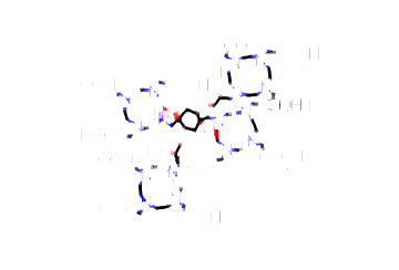 O=C(O)CN1CCN(CC(=O)O)CCN(CC(O)COC2CC(O)(CN3CCN(CC(=O)O)CCN(CC(=O)O)CCN(CC(=O)O)CC3)C(OCC(O)CN3CCN(CC(=O)O)CCN(CC(=O)O)CCN(CC(=O)O)CC3)CC2(O)CN2CCN(CC(=O)O)CCN(CC(=O)O)CCN(CC(=O)O)CC2)CCN(CC(=O)O)CC1